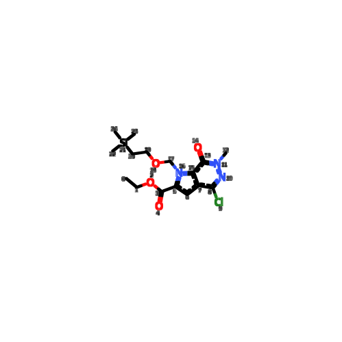 CCOC(=O)c1cc2c(Cl)nn(C)c(=O)c2n1COCC[Si](C)(C)C